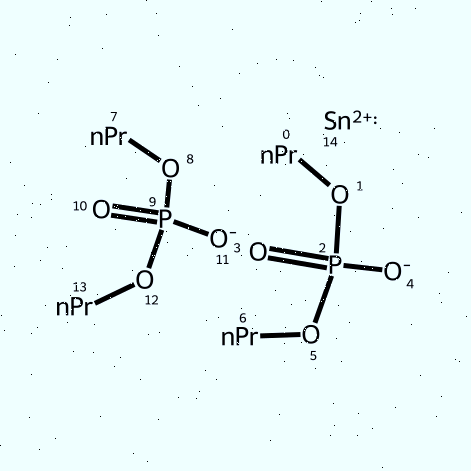 CCCOP(=O)([O-])OCCC.CCCOP(=O)([O-])OCCC.[Sn+2]